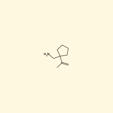 C=C(C)C1(CN)CCCC1